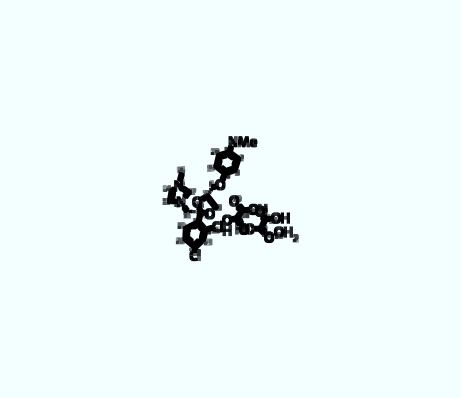 CNc1ccc(OC[C@@H]2CO[C@@](CN3C=CN(C)C3)(c3ccc(Cl)cc3Cl)O2)cc1.O.O=C(O)C(=O)O.O=C(O)C(=O)O